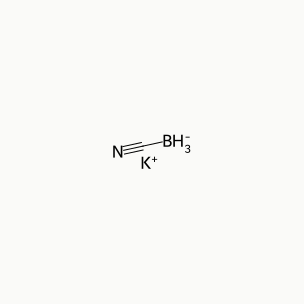 [BH3-]C#N.[K+]